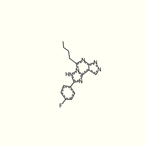 CCCCc1nc2nncc-2c2nc(-c3ccc(F)cc3)[nH]n12